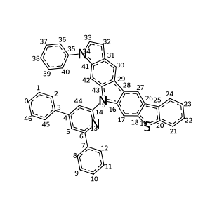 c1ccc(-c2cc(-c3ccccc3)nc(-n3c4cc5sc6ccccc6c5cc4c4cc5ccn(-c6ccccc6)c5cc43)c2)cc1